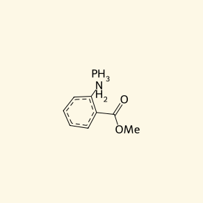 COC(=O)c1ccccc1N.P